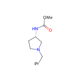 COC(=O)N[C@H]1CCN(CC(C)C)C1